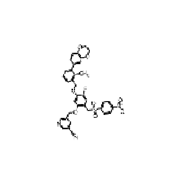 Cc1c(COc2cc(OCc3cncc(C#N)c3)c(CS(=O)(=O)c3ccc([N+](=O)[O-])cc3)cc2F)cccc1-c1ccc2c(c1)OCCO2